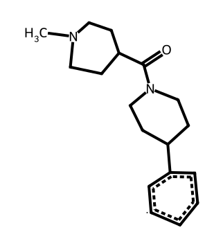 CN1CCC(C(=O)N2CCC(c3c[c]ccc3)CC2)CC1